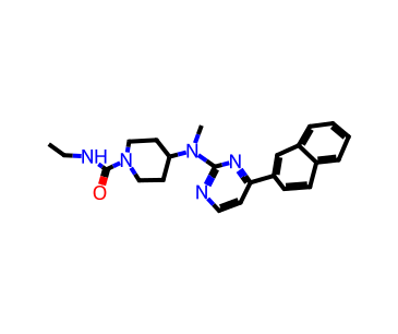 CCNC(=O)N1CCC(N(C)c2nccc(-c3ccc4ccccc4c3)n2)CC1